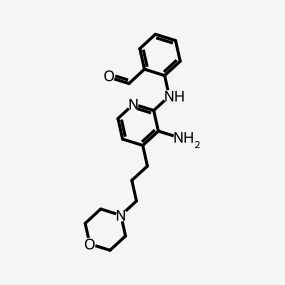 Nc1c(CCCN2CCOCC2)ccnc1Nc1ccccc1C=O